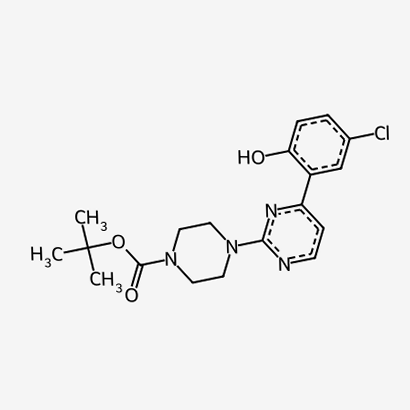 CC(C)(C)OC(=O)N1CCN(c2nccc(-c3cc(Cl)ccc3O)n2)CC1